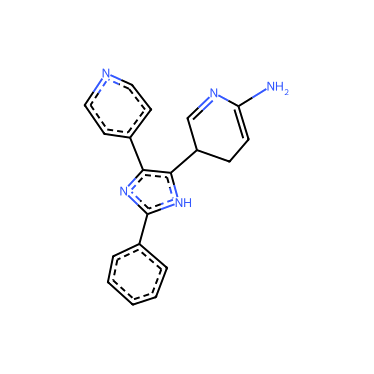 NC1=CCC(c2[nH]c(-c3ccccc3)nc2-c2ccncc2)C=N1